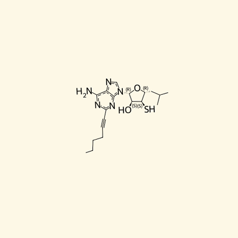 CCCCC#Cc1nc(N)c2ncn([C@@H]3O[C@H](CC(C)C)[C@@H](S)[C@H]3O)c2n1